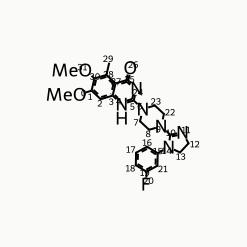 COc1cc2[nH]c(N3CCN(C4=NCCN4c4cccc(F)c4)CC3)nc(=O)c2c(C)c1OC